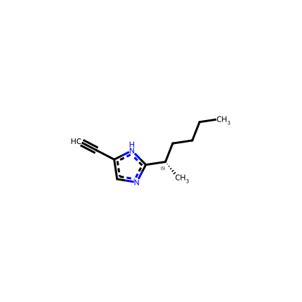 C#Cc1cnc([C@@H](C)CCCC)[nH]1